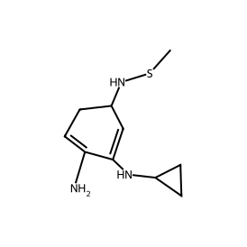 CSNC1C=C(NC2CC2)C(N)=CC1